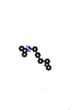 c1cc(-c2ccc(-c3cccc(-c4cccc5c4Cc4ccccc4-5)c3)cc2)cc(-c2cnc3c4ccccc4c4ccccc4c3n2)c1